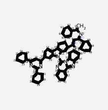 C=C(/N=C(\C=C(/CC)c1ccc2c3ccc(-c4cc(-c5ccccc5)nc(-c5ccccc5)n4)cc3n(-c3nc4ccccc4c4nc5ccccc5n34)c2c1)c1ccccc1)c1ccccc1